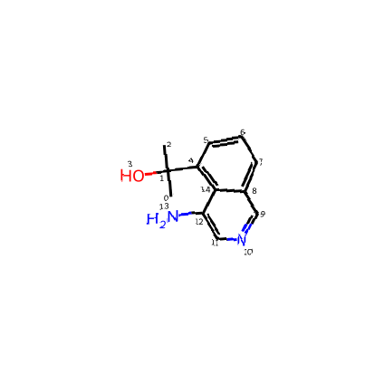 CC(C)(O)c1cccc2cncc(N)c12